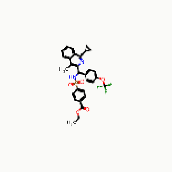 CCOC(=O)c1ccc(S(=O)(=O)NC(c2ccc(OC(F)(F)F)cc2)c2nc(C3CC3)c3ccccc3c2C)cc1